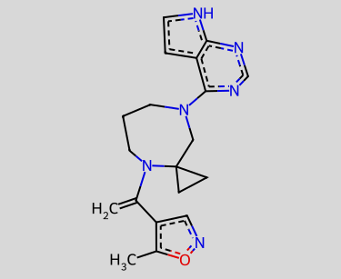 C=C(c1cnoc1C)N1CCCN(c2ncnc3[nH]ccc23)CC12CC2